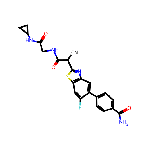 N#CC(C(=O)NCC(=O)NC1CC1)c1nc2cc(-c3ccc(C(N)=O)cc3)c(F)cc2s1